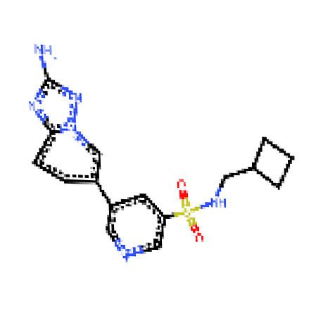 Nc1nc2ccc(-c3cncc(S(=O)(=O)NCC4CCC4)c3)cn2n1